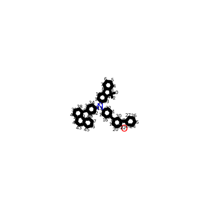 CC1(C)c2ccccc2-c2ccc(N(c3ccc(-c4ccc5oc6ccccc6c5c4)cc3)c3ccc(-c4cccc5ccc6ccccc6c45)cc3)cc21